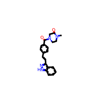 CN1CCN(C(=O)c2ccc(/C=C/c3n[nH]c4ccccc34)cc2)CC1=O